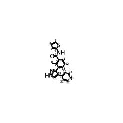 Cc1c(C(=O)Nc2cccs2)cccc1-c1n[nH]cc1-c1ccncc1